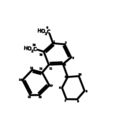 O=C(O)c1ccc(C2CCCCC2)c(-c2ccccc2)c1C(=O)O